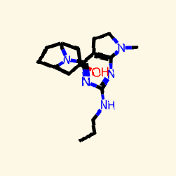 CCCNc1nc2c(c(N3C4CCC3CC(O)C4)n1)CCN2C